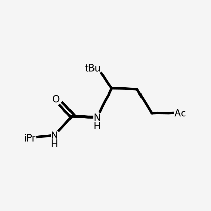 CC(=O)CCC(NC(=O)NC(C)C)C(C)(C)C